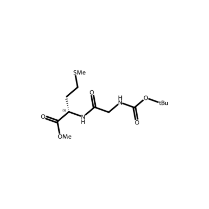 COC(=O)[C@H](CCSC)NC(=O)CNC(=O)OC(C)(C)C